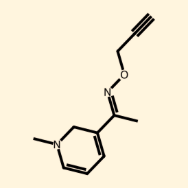 C#CCON=C(C)C1=CC=CN(C)C1